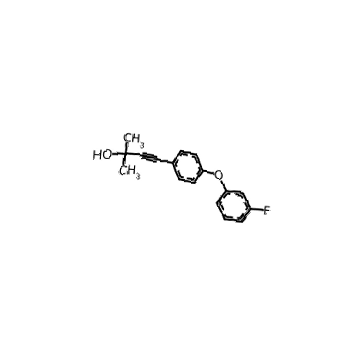 CC(C)(O)C#Cc1ccc(Oc2cccc(F)c2)cc1